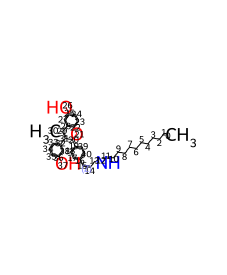 CCCCCCCCCCCCNC/C=C\c1ccc(C2Oc3ccc(O)cc3C(C)=C2c2cccc(O)c2)cc1